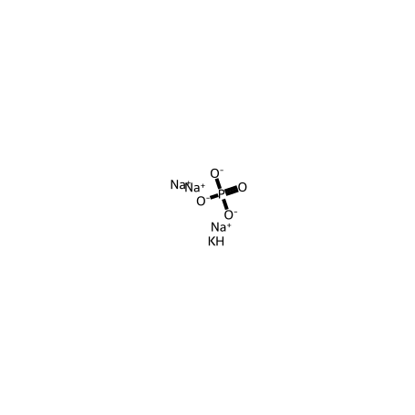 O=P([O-])([O-])[O-].[KH].[Na+].[Na+].[Na+]